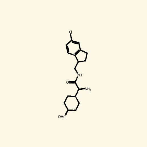 NC(C(=O)NCC1CCc2cc(Cl)ccc21)C1CCC(C=O)CC1